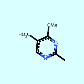 COc1nc(C)ncc1C(=O)O